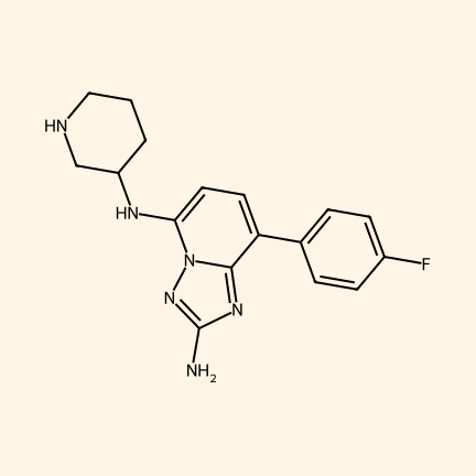 Nc1nc2c(-c3ccc(F)cc3)ccc(NC3CCCNC3)n2n1